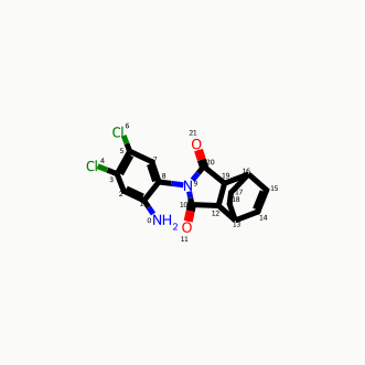 Nc1cc(Cl)c(Cl)cc1N1C(=O)C2C3C=CC(CC3)C2C1=O